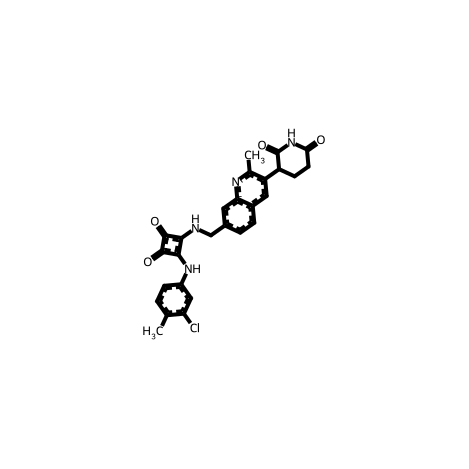 Cc1ccc(Nc2c(NCc3ccc4cc(C5CCC(=O)NC5=O)c(C)nc4c3)c(=O)c2=O)cc1Cl